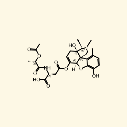 CC(=O)O[C@@H](C)C(=O)N[C@@H](CC(=O)OC1=CC[C@@]2(O)[C@@H](C)N(C)CC[C@@]23c2c(C)ccc(O)c2O[C@@H]13)C(=O)O